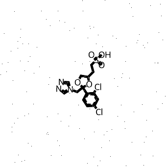 O=S(=O)(O)CCC1COC(Cn2cnnc2)(c2ccc(Cl)cc2Cl)O1